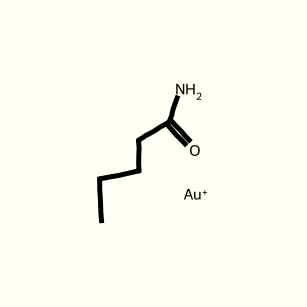 CCCCC(N)=O.[Au+]